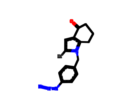 CCc1cc2c(n1Cc1ccc(N=[N+]=[N-])cc1)CCCC2=O